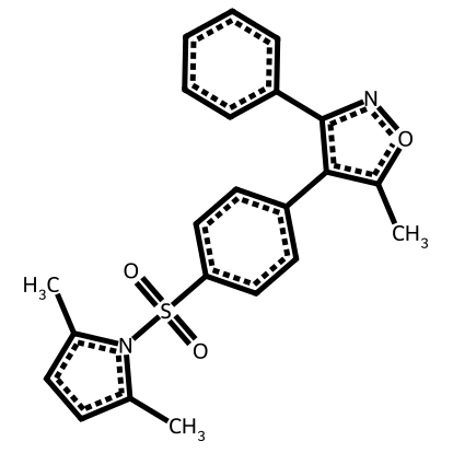 Cc1onc(-c2ccccc2)c1-c1ccc(S(=O)(=O)n2c(C)ccc2C)cc1